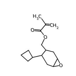 C=C(C)C(=O)OCC1CC2OC2CC1C1CCC1